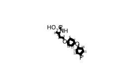 CC(CCOc1ccc(Oc2ccc(F)cc2)cc1)NC(=O)O